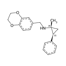 C[C@@]1(NCc2ccc3c(c2)OCCO3)C[C@H]1c1ccccc1